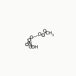 CC(=O)c1cccc(OCCCCCOc2ccc3c4ccccc4n(CC(=O)O)c3c2)c1